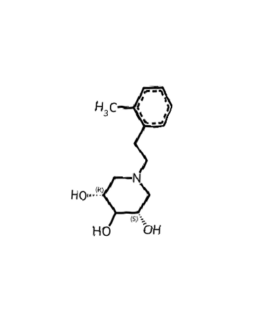 Cc1ccccc1CCN1C[C@@H](O)C(O)[C@@H](O)C1